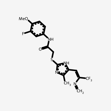 C=N/C(=C\c1[nH]c(SCC(=O)Nc2ccc(OC)c(F)c2)nc1C)C(F)(F)F